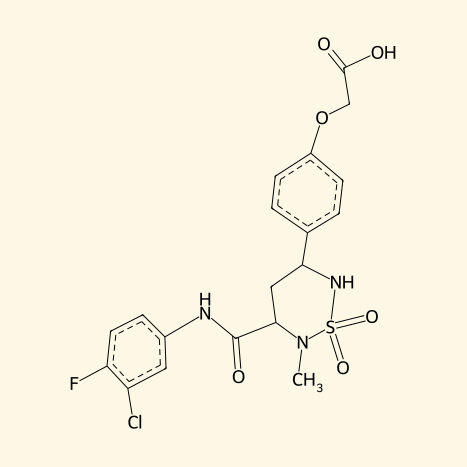 CN1C(C(=O)Nc2ccc(F)c(Cl)c2)CC(c2ccc(OCC(=O)O)cc2)NS1(=O)=O